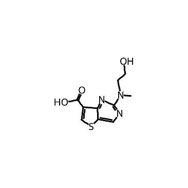 CN(CCO)c1ncc2scc(C(=O)O)c2n1